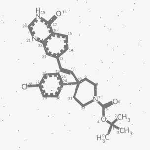 CC(C)(C)OC(=O)N1CCC(/C=C/c2ccc3c(=O)[nH]cnc3c2)(c2ccc(Cl)cc2)CC1